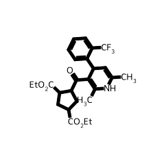 CCOC(=O)C1CC(C(=O)OCC)C(C(=O)C2=C(C)NC(C)=CC2c2ccccc2C(F)(F)F)C1